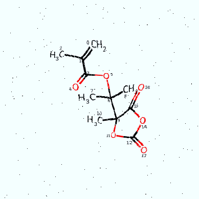 C=C(C)C(=O)OC(C)(C)C1(C)OC(=O)OC1=O